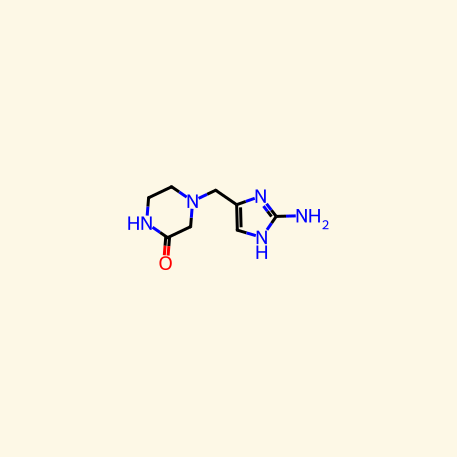 Nc1nc(CN2CCNC(=O)C2)c[nH]1